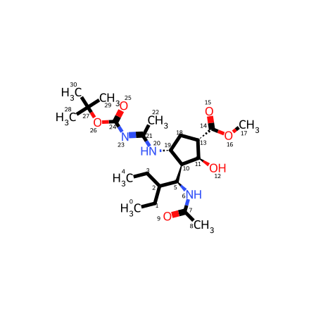 CCC(CC)[C@H](NC(C)=O)[C@@H]1[C@H](O)[C@@H](C(=O)OC)C[C@H]1N/C(C)=N/C(=O)OC(C)(C)C